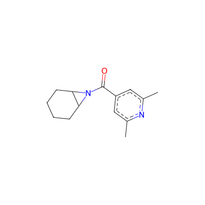 Cc1cc(C(=O)N2C3CCCCC32)cc(C)n1